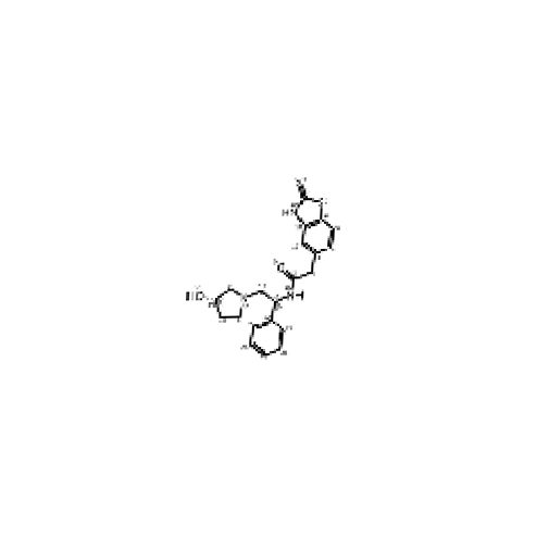 O=C(Cc1ccc2sc(=S)[nH]c2c1)N[C@H](CN1CC[C@H](O)C1)c1ccccc1